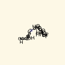 O=CNOCc1ccc2c(N=Nc3ccc(C(=O)/C=C/c4ccc(N=Nc5c(O)ccc6cc(C(=O)NC(=O)Nc7cccc(C(F)(F)F)c7)ccc56)cc4)cc3)c(O)ccc2c1